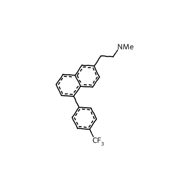 CNCCc1ccc2c(-c3ccc(C(F)(F)F)cc3)cccc2c1